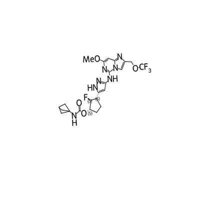 COc1cc2nc(COC(F)(F)F)cn2c(Nc2cc([C@@H]3CC[C@H](OC(=O)NC45CC(C4)C5)[C@H]3F)[nH]n2)n1